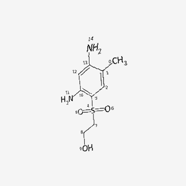 Cc1cc(S(=O)(=O)CCO)c(N)cc1N